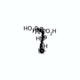 O=C(O)CNC(=O)NC(CCC(=O)NCCCCNCc1ccccn1)C(=O)O